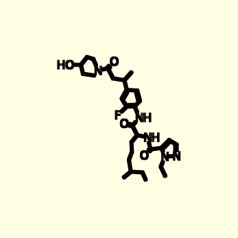 CCC(C)CCCC(NC(=O)c1ccnn1CC)C(=O)Nc1ccc(C(C)CC(=O)N2CCC(O)CC2)cc1F